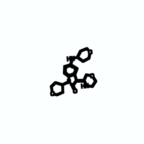 O=C1/C(=C2/COCCN2)c2cc(NC3CCOCC3)ccc2N1C1CCOCC1